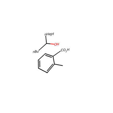 CCCCCCCC(O)CCCC.Cc1ccccc1C(=O)O